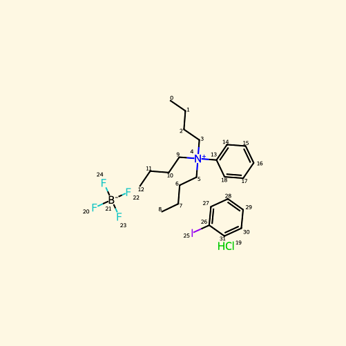 CCCC[N+](CCCC)(CCCC)c1ccccc1.Cl.F[B-](F)(F)F.Ic1ccccc1